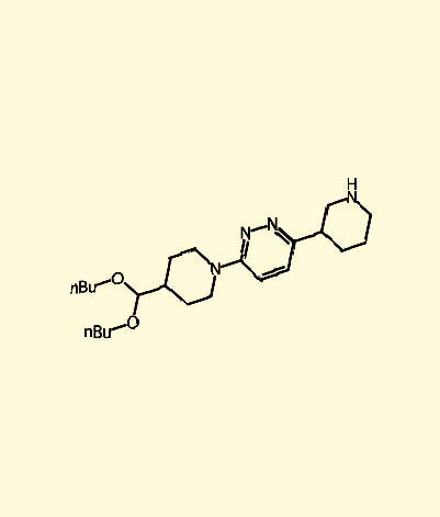 CCCCOC(OCCCC)C1CCN(c2ccc(C3CCCNC3)nn2)CC1